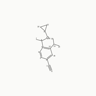 C#Cc1ccc(C(C)OC2CC2)c(C(C)C)c1